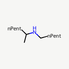 CCCCCCNC(C)CCCCC